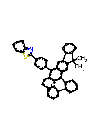 CC1(C)c2ccccc2-c2cc3c(-c4ccc(-c5nc6ccccc6s5)cc4)c4ccccc4c(-c4ccccc4-c4ccccc4)c3cc21